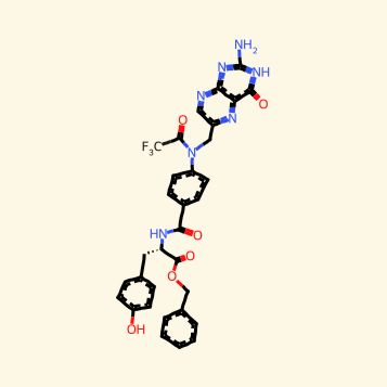 Nc1nc2ncc(CN(C(=O)C(F)(F)F)c3ccc(C(=O)N[C@@H](Cc4ccc(O)cc4)C(=O)OCc4ccccc4)cc3)nc2c(=O)[nH]1